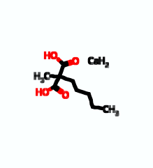 CCCCCC(C)(C(=O)O)C(=O)O.[CaH2]